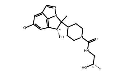 C[C@H](O)CNC(=O)N1CCC(C2(C)[C@H](O)c3cc(Cl)cc4cnn2c34)CC1